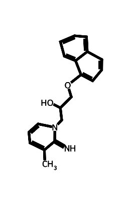 Cc1cccn(CC(O)COc2cccc3ccccc23)c1=N